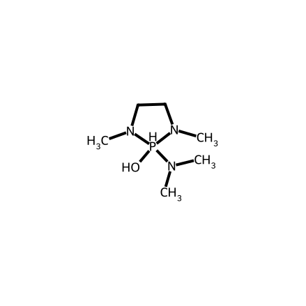 CN(C)[PH]1(O)N(C)CCN1C